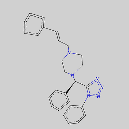 C(=C\c1ccccc1)/CN1CCN([C@H](c2ccccc2)c2nnnn2-c2ccccc2)CC1